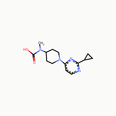 CN(C(=O)O)C1CCN(c2ccnc(C3CC3)n2)CC1